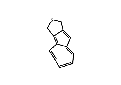 c1ccc2cc3c(c-2cc1)CSC3